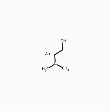 CN(C)CCO.[Au]